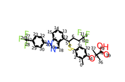 Cc1cc(SC(CCC(F)(F)F)c2cccc3c2cnn3-c2ccc(C(F)(F)F)cc2)ccc1OC(C)(C)C(=O)O